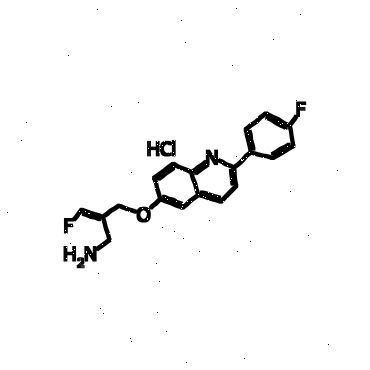 Cl.NC/C(=C\F)COc1ccc2nc(-c3ccc(F)cc3)ccc2c1